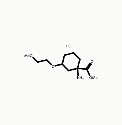 COCCOC1CCCC(N)(C(=O)OC)C1.Cl